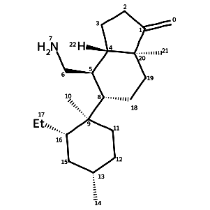 C=C1CC[C@H]2[C@H](CN)[C@@H]([C@@]3(C)CC[C@H](C)C[C@@H]3CC)CC[C@]12C